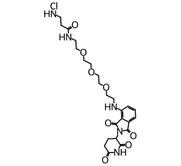 O=C(CCNCl)NCCOCCOCCOCCNc1cccc2c1C(=O)N(C1CCC(=O)NC1=O)C2=O